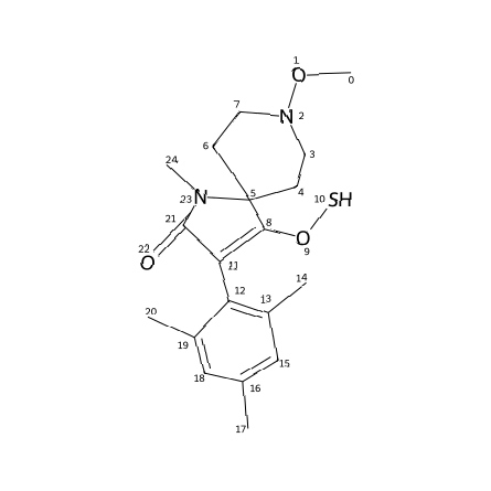 CON1CCC2(CC1)C(OS)=C(c1c(C)cc(C)cc1C)C(=O)N2C